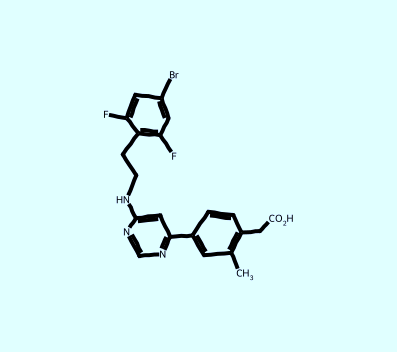 Cc1cc(-c2cc(NCCc3c(F)cc(Br)cc3F)ncn2)ccc1CC(=O)O